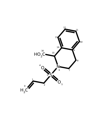 C=CCS(=O)(=O)N1CCc2ccccc2C1C(=O)O